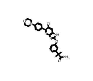 CC(C)(C(N)=O)c1cccc(Oc2nc3nc(-c4ccc(N5CCOCC5)cc4)c(Cl)cc3[nH]2)c1